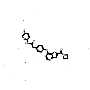 O=C(Cc1ccc(Oc2ccnc3cc(C(=O)N4CCC4)sc23)cc1)Nc1ccc(Cl)cn1